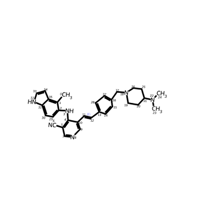 Cc1c(Nc2c(C#N)cncc2/C=C/c2ccc(CN3CCC(N(C)C)CC3)cc2)ccc2[nH]ccc12